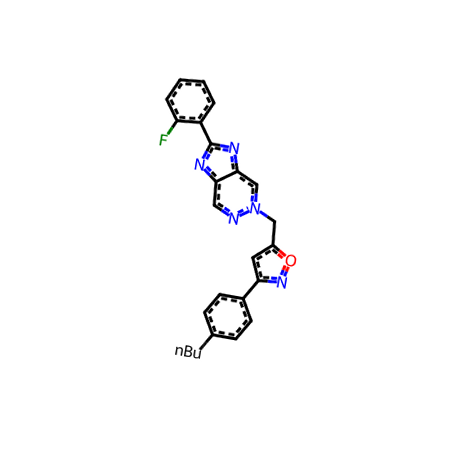 CCCCc1ccc(-c2cc(Cn3cc4nc(-c5ccccc5F)nc-4cn3)on2)cc1